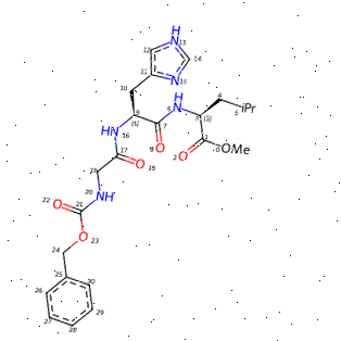 COC(=O)[C@H](CC(C)C)NC(=O)[C@H](Cc1c[nH]cn1)NC(=O)CNC(=O)OCc1ccccc1